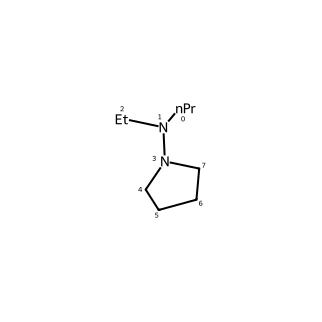 CCCN(CC)N1CCCC1